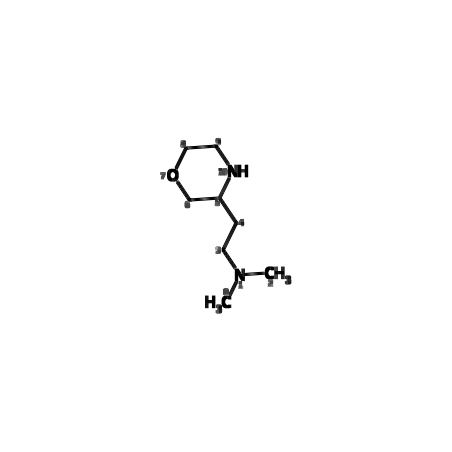 CN(C)CCC1COCCN1